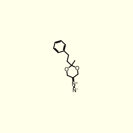 CC1(CCc2ccccc2)OCC(=[N+]=[N-])CO1